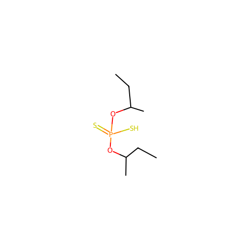 CCC(C)OP(=S)(S)OC(C)CC